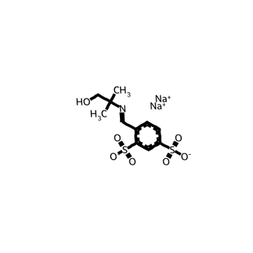 CC(C)(CO)/N=C/c1ccc(S(=O)(=O)[O-])cc1S(=O)(=O)[O-].[Na+].[Na+]